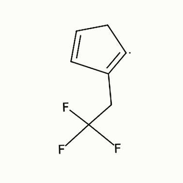 FC(F)(F)CC1=[C]CC=C1